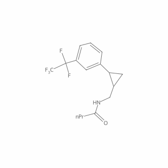 CCCC(=O)NCC1CC1c1cccc(C(F)(F)C(F)(F)F)c1